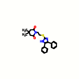 CC1(C)CC(=O)N(CCSc2nc(-c3ccccc3)c(-c3ccccc3)[nH]2)C(=O)C1